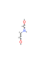 O=C=CN=C=O